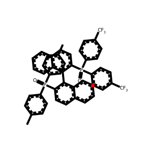 Cc1ccc(P(=O)(c2ccc(C)cc2)c2ccc3ccccc3c2-c2c(P(=O)(c3ccc(C(F)(F)F)cc3)c3ccc(C(F)(F)F)cc3)ccc3ccccc23)cc1